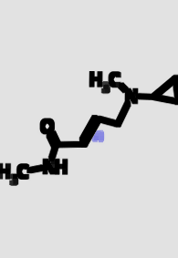 CNC(=O)/C=C/CN(C)C1CC1